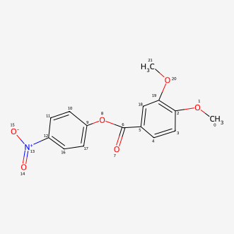 COc1ccc(C(=O)Oc2ccc([N+](=O)[O-])cc2)cc1OC